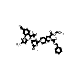 CCOC(=O)C1CC2(CCN(c3cc(OC(c4ccc(C#N)cc4-n4ccc(C)n4)C(F)(F)F)nc(N)n3)CC2)CN1C(=O)OCc1ccccc1